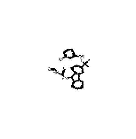 O=CNC(=O)NC1c2ccccc2-c2cc(C(F)(F)F)ccc21.Oc1cccc(O)c1